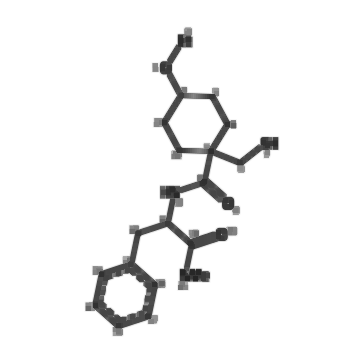 CCOC1CCC(CS)(C(=O)NC(Cc2ccccc2)C(=O)NC)CC1